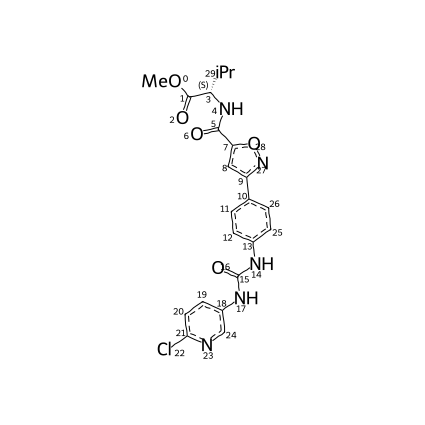 COC(=O)[C@@H](NC(=O)c1cc(-c2ccc(NC(=O)Nc3ccc(Cl)nc3)cc2)no1)C(C)C